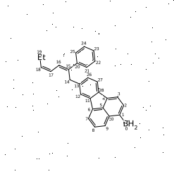 Bc1ccc2c3c(cccc13)-c1cc(C/C(=C\C=C/CC)c3ccccc3)ccc1-2